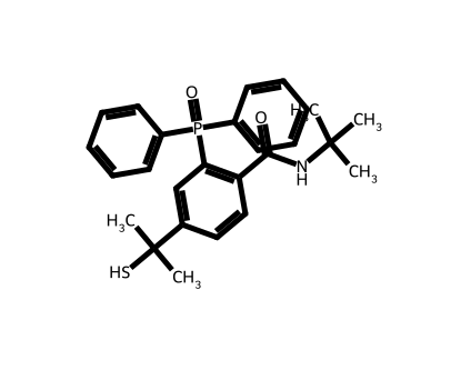 CC(C)(C)NC(=O)c1ccc(C(C)(C)S)cc1P(=O)(c1ccccc1)c1ccccc1